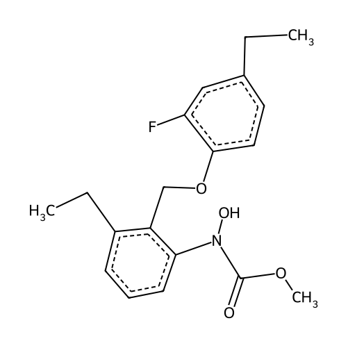 CCc1ccc(OCc2c(CC)cccc2N(O)C(=O)OC)c(F)c1